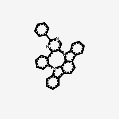 c1ccc(-c2ncc3c(n2)c2ccccc2n2c4ccccc4c4ccc5c6ccccc6n3c5c42)cc1